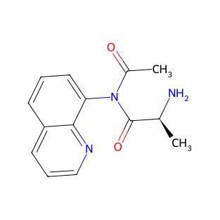 CC(=O)N(C(=O)[C@H](C)N)c1cccc2cccnc12